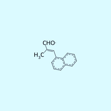 C/C([C]=O)=C\c1cccc2ccccc12